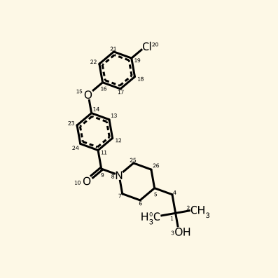 CC(C)(O)CC1CCN(C(=O)c2ccc(Oc3ccc(Cl)cc3)cc2)CC1